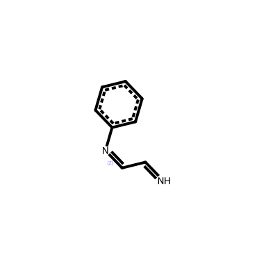 N=C/C=N\c1ccccc1